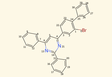 Brc1cc(-c2cc(-c3ccccc3)nc(-c3ccccc3)n2)ccc1-c1ccccc1